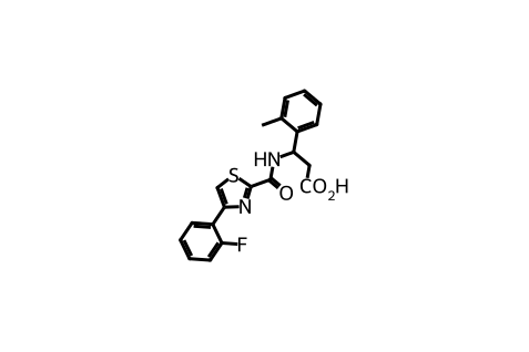 Cc1ccccc1C(CC(=O)O)NC(=O)c1nc(-c2ccccc2F)cs1